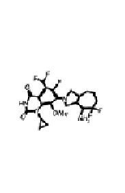 COc1c(N2CC3CCCC(F)(F)C(N)C3C2)c(F)c(C(F)F)c2c(=O)[nH]c(=O)n(C3CC3)c12